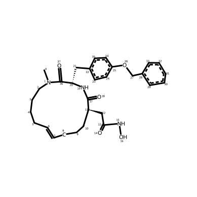 CN1CCCC/C=C/CCC[C@H](CC(=O)NO)C(=O)N[C@@H](Cc2ccc(OCc3ccccc3)cc2)C1=O